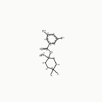 CCCC1(OC(=O)c2cc(F)cc(F)c2)CCC(C)(C)CC1